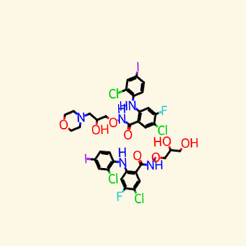 O=C(NOCC(O)CN1CCOCC1)c1cc(Cl)c(F)cc1Nc1ccc(I)cc1Cl.O=C(NOCC(O)CO)c1cc(Cl)c(F)cc1Nc1ccc(I)cc1Cl